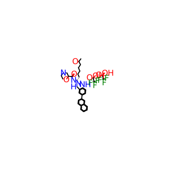 CC(=O)CCCCC[C@@H](NC(=O)C1CN(C)CCO1)N1Cc2cc(-c3ccc4ccccc4c3)ccc2N1.O=C(O)C(F)(F)F.O=C(O)C(F)(F)F